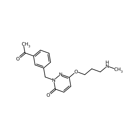 CNCCCOc1ccc(=O)n(Cc2cccc(C(C)=O)c2)n1